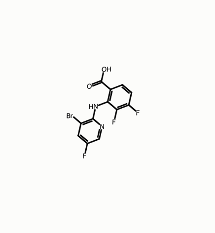 O=C(O)c1ccc(F)c(F)c1Nc1ncc(F)cc1Br